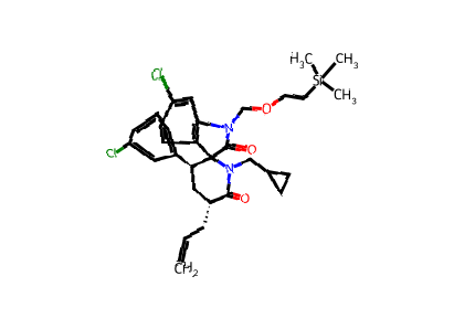 C=CC[C@@H]1C[C@@H](c2cccc(Cl)c2)C2(C(=O)N(COCC[Si](C)(C)C)c3cc(Cl)ccc32)N(CC2CC2)C1=O